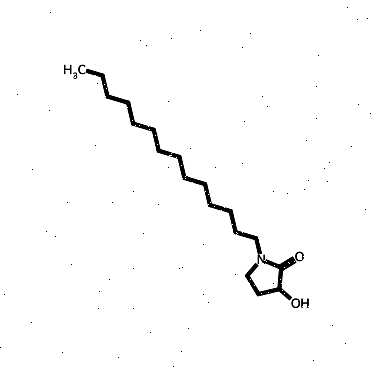 CCCCCCCCCCCCCCN1CCC(O)C1=O